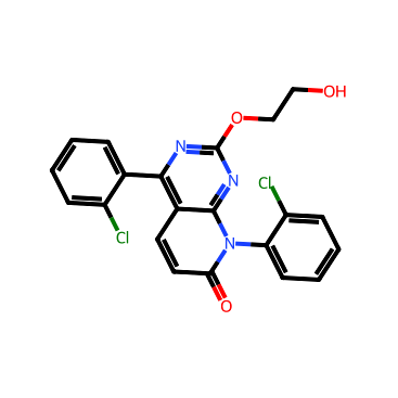 O=c1ccc2c(-c3ccccc3Cl)nc(OCCO)nc2n1-c1ccccc1Cl